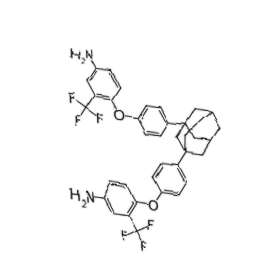 Nc1ccc(Oc2ccc(C34CC5CC(C3)CC(c3ccc(Oc6ccc(N)cc6C(F)(F)F)cc3)(C5)C4)cc2)c(C(F)(F)F)c1